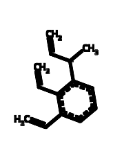 C=C[C](C)c1cccc(C=C)c1C=C